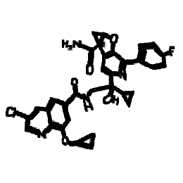 NC(=O)[C@@]12CC1Oc1c2cc(C(O)(CNC(=O)c2cc(OC3CC3)c3ncc(Cl)cc3c2)C2CC2)nc1-c1ccc(F)cc1